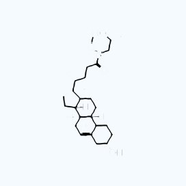 CON(C[C@@H](C)O)C(=O)CC[C@@H](C)[C@H]1CC[C@H]2[C@@H]3CC=C4C[C@@H](O)CC[C@]4(C)[C@H]3CC[C@]12C